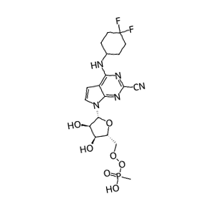 CP(=O)(O)OOC[C@H]1O[C@@H](n2ccc3c(NC4CCC(F)(F)CC4)nc(C#N)nc32)[C@H](O)[C@@H]1O